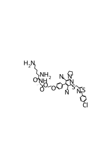 C[C@H](NC(=O)[C@@H](N)CCCCN)C(=O)OCCOc1ccc(-c2c(C#N)c(SCc3csc(-c4ccc(Cl)cc4)n3)nc(N3CCCC3)c2C#N)cc1